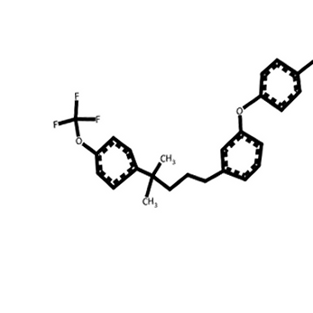 CC(C)(CCCc1cccc(Oc2ccc(F)cc2)c1)c1ccc(OC(F)(F)F)cc1